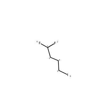 FC(F)CCCI